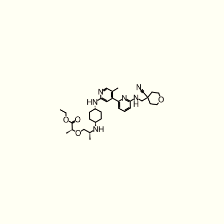 CCOC(=O)[C@H](C)OC[C@H](C)N[C@H]1CC[C@H](Nc2cc(-c3cccc(NCC4(C#N)CCOCC4)n3)c(C)cn2)CC1